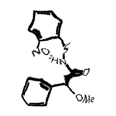 COC(C(=O)NSc1ccccc1[N+](=O)[O-])c1ccccc1